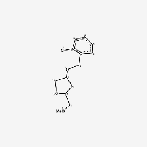 COCC1CC(OCc2ccccc2Cl)CO1